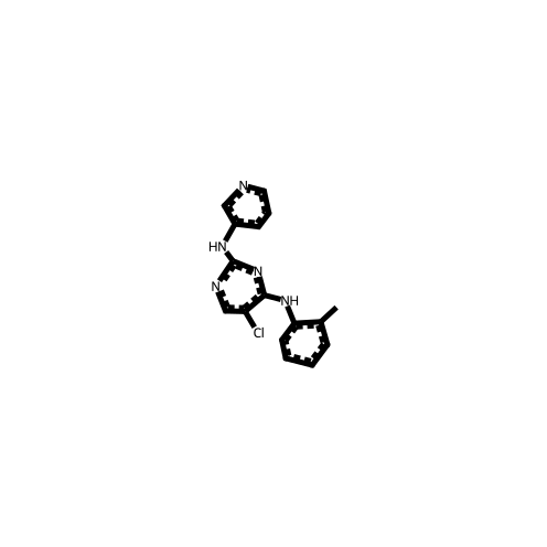 Cc1ccccc1Nc1nc(Nc2cccnc2)ncc1Cl